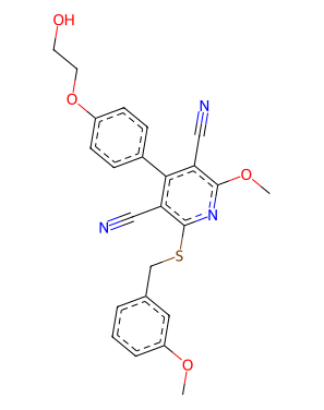 COc1cccc(CSc2nc(OC)c(C#N)c(-c3ccc(OCCO)cc3)c2C#N)c1